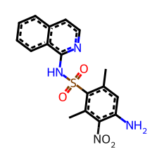 Cc1cc(N)c([N+](=O)[O-])c(C)c1S(=O)(=O)Nc1nccc2ccccc12